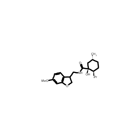 COc1ccc2c(c1)OCC2CNC(=O)[C@]1(O)C[C@H](C)CC[C@H]1C(C)C